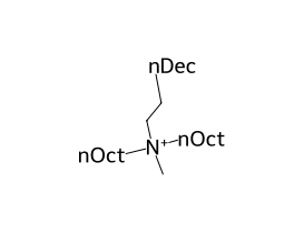 CCCCCCCCCCCC[N+](C)(CCCCCCCC)CCCCCCCC